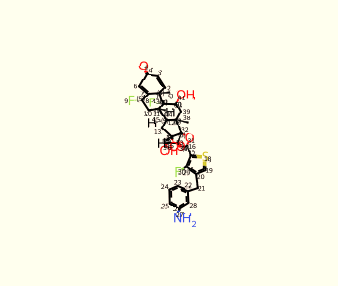 C[C@]12C=CC(=O)C=C1[C@@H](F)C[C@H]1[C@@H]3C[C@H]4O[C@H](c5scc(Cc6cccc(N)c6)c5F)O[C@@]4(C(=O)CO)[C@@]3(C)C[C@H](O)[C@@]12F